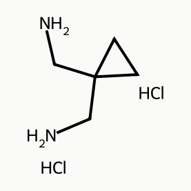 Cl.Cl.NCC1(CN)CC1